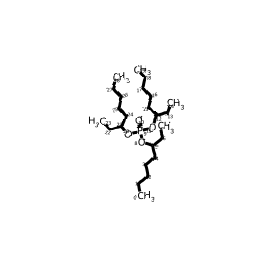 CCCCCC(CC)OP(=O)(OC(CC)CCCCC)OC(CC)CCCCC